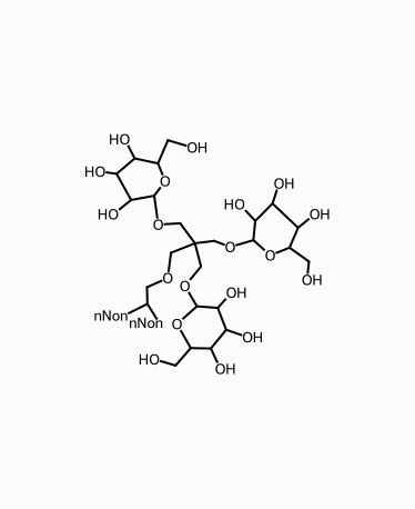 CCCCCCCCCC(CCCCCCCCC)COCC(COC1OC(CO)C(O)C(O)C1O)(COC1OC(CO)C(O)C(O)C1O)COC1OC(CO)C(O)C(O)C1O